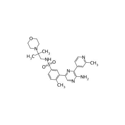 Cc1cc(-c2nc(-c3cc(S(=O)(=O)NCC(C)(C)N4CCOCC4)ccc3C)cnc2N)ccn1